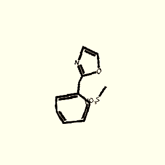 CS(=O)(=O)O.c1ccc(-c2ncco2)cc1